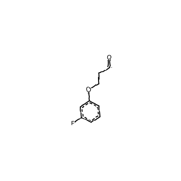 O=[C]CCOc1cccc(F)c1